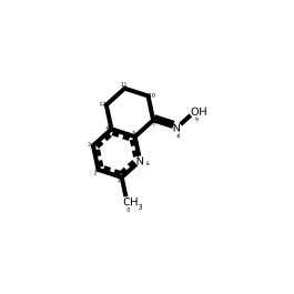 Cc1ccc2c(n1)C(=NO)CCC2